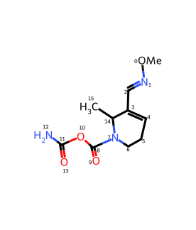 CON=CC1=CCCN(C(=O)OC(N)=O)C1C